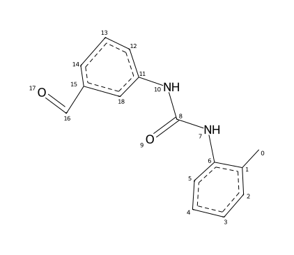 Cc1ccccc1NC(=O)Nc1cccc(C=O)c1